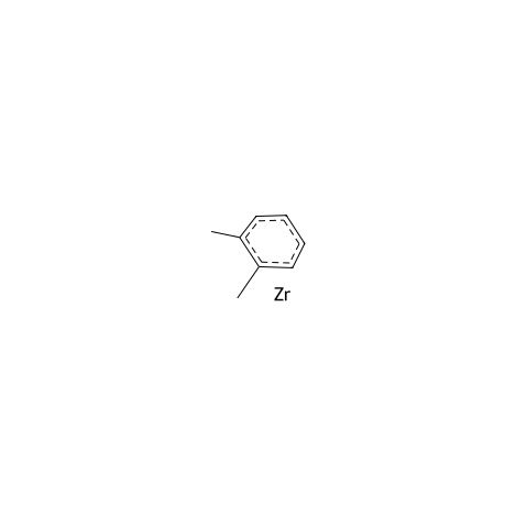 Cc1ccccc1C.[Zr]